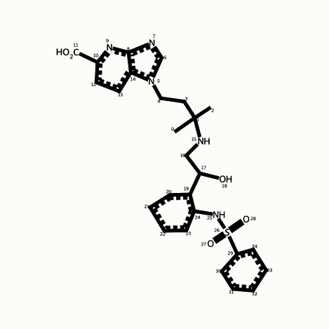 CC(C)(CCn1cnc2nc(C(=O)O)ccc21)NCC(O)c1ccccc1NS(=O)(=O)c1ccccc1